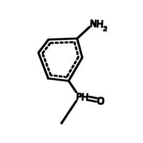 C[PH](=O)c1cccc(N)c1